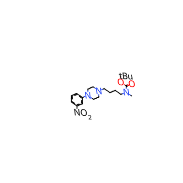 CN(CCCCN1CCN(c2cccc([N+](=O)[O-])c2)CC1)C(=O)OC(C)(C)C